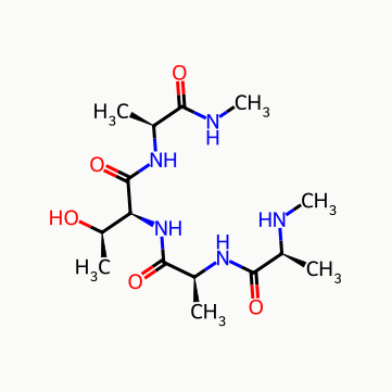 CNC(=O)[C@H](C)NC(=O)[C@@H](NC(=O)[C@H](C)NC(=O)[C@H](C)NC)[C@@H](C)O